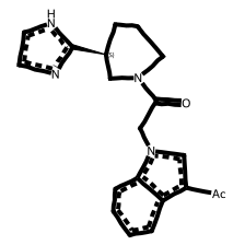 CC(=O)c1cn(CC(=O)N2CCC[C@H](c3ncc[nH]3)C2)c2ccccc12